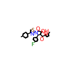 Cc1ccc(-c2csc(N3C(=O)C(O)=C(C(=O)c4ccc(C)o4)C3c3ccc(F)cc3)n2)cc1